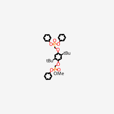 COP(=O)(COc1cc(C(C)(C)C)c(OCP(=O)(Oc2ccccc2)Oc2ccccc2)cc1C(C)(C)C)Oc1ccccc1